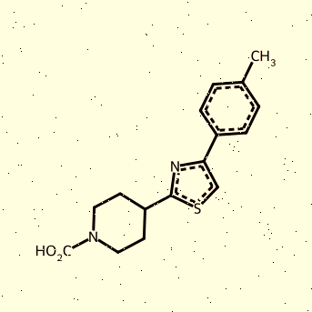 Cc1ccc(-c2csc(C3CCN(C(=O)O)CC3)n2)cc1